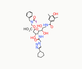 Cc1cc(C(=O)NC[C@@H](O)[C@@H](O)C2O[C@@](OCN(Cc3ccccc3)C(=O)I)(C(=O)O)CC(O)[C@H]2NC(=O)Cn2cc(C3CCCCC3)nn2)cc(C)c1O